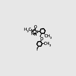 Cc1cc(I)ccc1OCc1c(C)cccc1-n1nnn(C)c1=O